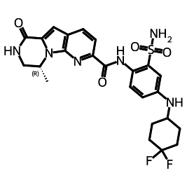 C[C@@H]1CNC(=O)c2cc3ccc(C(=O)Nc4ccc(NC5CCC(F)(F)CC5)cc4S(N)(=O)=O)nc3n21